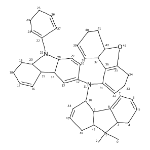 CC1(C)C2CC=CC=C2C2C(N(C3=CC4C5C=CCCC5N(C5=CCCC=C5)C4C=C3)C3=CCCC4=C3C3C=CCCC3O4)C=CCC21